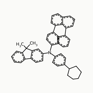 CC1(C)c2ccccc2-c2ccc(N(c3ccc(-c4cccc5cccc(-c6ccccc6)c45)cc3)c3ccc(C4CCCCC4)cc3)cc21